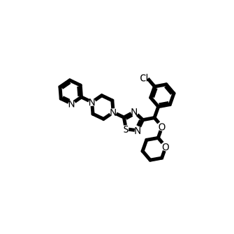 Clc1cccc(C(OC2CCCCO2)c2nsc(N3CCN(c4ccccn4)CC3)n2)c1